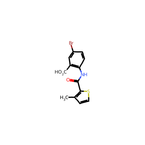 Cc1ccsc1C(=O)Nc1ccc(Br)cc1C(=O)O